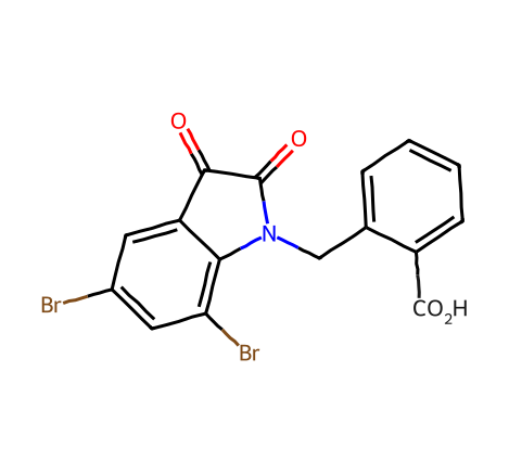 O=C(O)c1ccccc1CN1C(=O)C(=O)c2cc(Br)cc(Br)c21